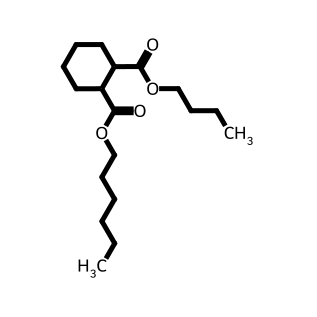 CCCCCCOC(=O)C1CCCCC1C(=O)OCCCC